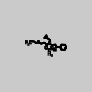 Cn1nc(-c2ccccc2)cc1N(CC1CC1)C(=O)CCSCCC(F)(F)F